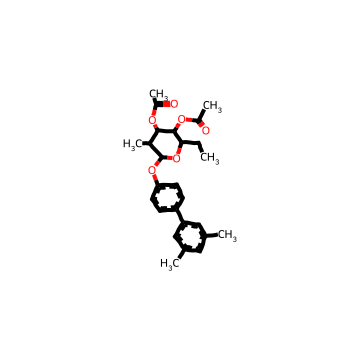 CCC1OC(Oc2ccc(-c3cc(C)cc(C)c3)cc2)C(C)C(OC(C)=O)C1OC(C)=O